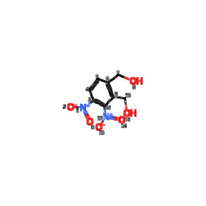 O=[N+]([O-])c1ccc(CO)c(CO)c1[N+](=O)[O-]